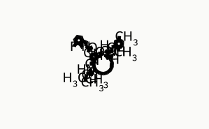 Cc1ccc(C)c(ONC(=O)[C@@]23C[C@H]2/C=C\CCCCC[C@H](NC(=O)OC(C)(C)C)C(=O)N2C[C@H](OC(=O)N4Cc5cccc(F)c5C4)C[C@H]2C(=O)N3)c1